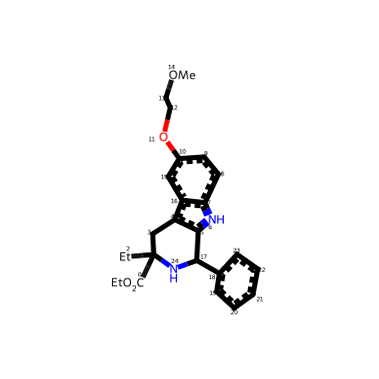 CCOC(=O)C1(CC)Cc2c([nH]c3ccc(OCCOC)cc23)C(c2ccccc2)N1